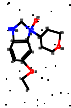 CCOc1ccc2c(c1)[N+]([O-])(C1CCOCC1)CN2